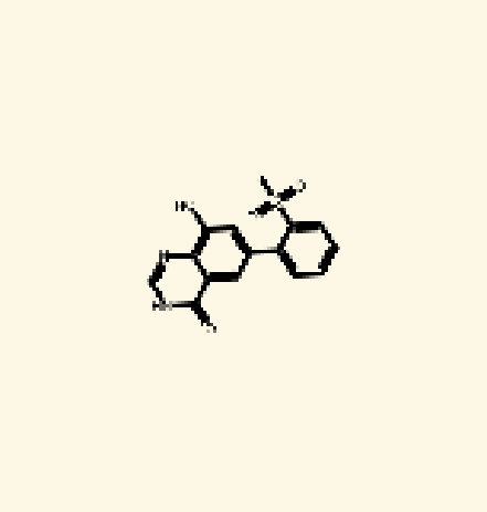 CS(=O)(=O)c1ccccc1-c1cc(O)c2nc[nH]c(=O)c2c1